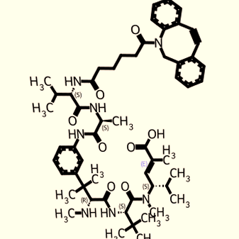 CN[C@@H](C(=O)N[C@H](C(=O)N(C)[C@H](/C=C(\C)C(=O)O)C(C)C)C(C)(C)C)C(C)(C)c1cccc(NC(=O)[C@H](C)NC(=O)[C@@H](NC(=O)CCCCC(=O)N2Cc3ccccc3C#Cc3ccccc32)C(C)C)c1